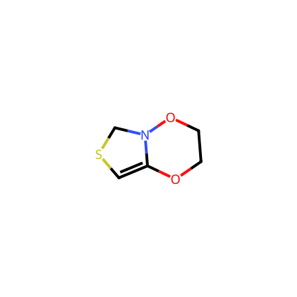 C1=C2OCCON2CS1